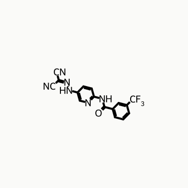 N#CC(C#N)=NNc1ccc(NC(=O)c2cccc(C(F)(F)F)c2)nc1